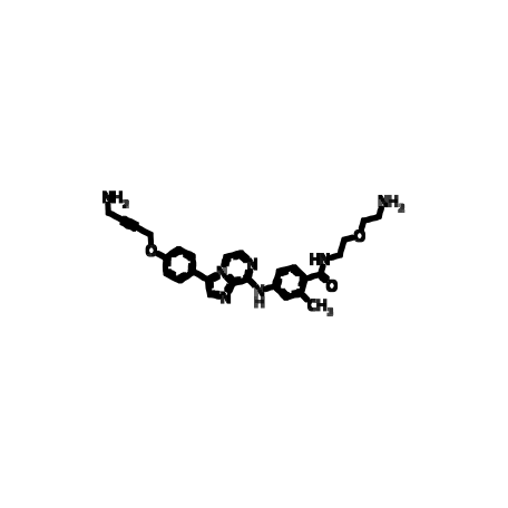 Cc1cc(Nc2nccn3c(-c4ccc(OCC#CCN)cc4)cnc23)ccc1C(=O)NCCOCCN